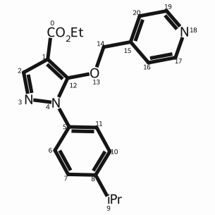 CCOC(=O)c1cnn(-c2ccc(C(C)C)cc2)c1OCc1ccncc1